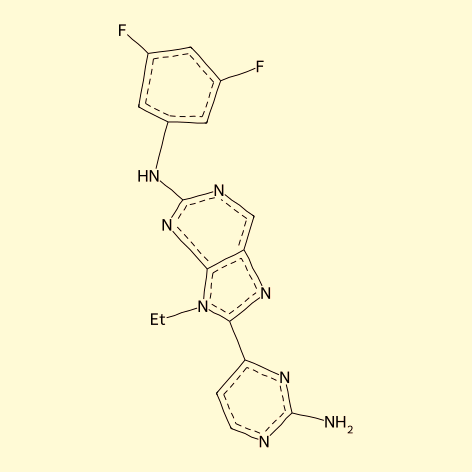 CCn1c(-c2ccnc(N)n2)nc2cnc(Nc3cc(F)cc(F)c3)nc21